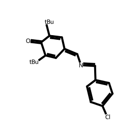 CC(C)(C)C1=CC(=CN=Cc2ccc(Cl)cc2)C=C(C(C)(C)C)C1=O